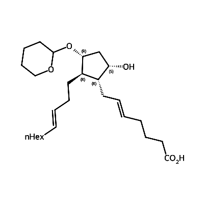 CCCCCCC=CCC[C@@H]1[C@@H](CC=CCCCC(=O)O)[C@@H](O)C[C@H]1OC1CCCCO1